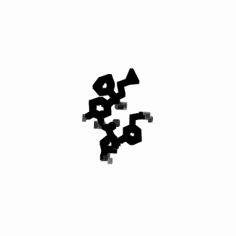 NCc1cccc(-n2nc(C(F)(F)F)cc2C(=O)Nc2cc(C(O)(CCC3CC3)c3ccccc3)ccc2F)c1